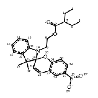 CCC(CC)C(=O)OCCN1c2ccccc2C(C)(C)C12C=Cc1cc([N+](=O)[O-])ccc1O2